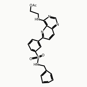 CC(=O)OCCNc1ncnc2ccc(-c3cccc(S(=O)(=O)NCc4ccccc4)c3)nc12